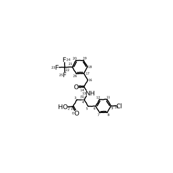 O=C(O)C[C@H](Cc1ccc(Cl)cc1)NC(=O)Cc1cccc(C(F)(F)F)c1